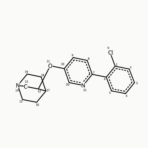 Clc1ccccc1-c1ccc(OC2CN3CCC2CC3)cn1